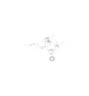 CCCCOC(=O)N1CCN(C(=O)[C@H](CP(=O)(N[C@@H](C)C(=O)OC)N[C@@H](C)C(=O)OC)NC(=O)c2cc(N3CC[C@H](OC)C3)nc(-c3ccccc3)n2)CC1